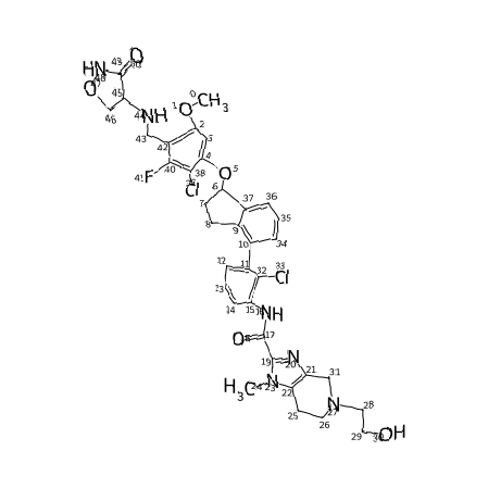 COc1cc(OC2CCc3c(-c4cccc(NC(=O)c5nc6c(n5C)CCN(CCO)C6)c4Cl)cccc32)c(Cl)c(F)c1CNC1CONC1=O